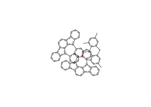 Cc1cc(C)c(B(c2cc(-n3c4ccccc4c4ccc5c6ccccc6n(-c6ccccc6)c5c43)cc(-n3c4ccccc4c4ccc5c6ccccc6n(-c6ccccc6)c5c43)c2)c2c(C)cc(C)cc2C)c(C)c1